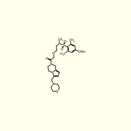 COc1cc(C)c(S(=O)(=O)N(C)CCOCC(=O)N2CCn3c(CN4CCOCC4)ccc3C2)c(C)c1